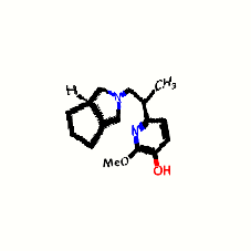 COc1nc(C(C)CN2CC3CCC[C@@H]3C2)ccc1O